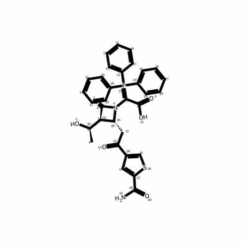 C[C@@H](O)[C@H]1C(=O)N(C(C(=O)O)=P(c2ccccc2)(c2ccccc2)c2ccccc2)[C@@H]1CC(=O)c1csc(C(N)=O)c1